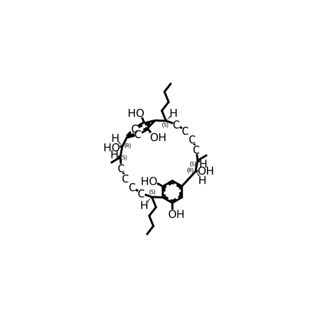 CCCC[C@H]1CCCC[C@H](C)[C@@H](O)c2cc(O)c(c(O)c2)[C@@H](CCCC)CCCC[C@H](C)[C@@H](O)c2cc(O)c1c(O)c2